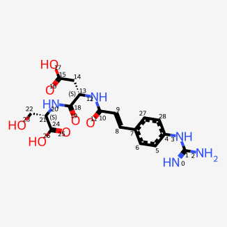 N=C(N)Nc1ccc(C=CC(=O)N[C@@H](CC(=O)O)C(=O)N[C@@H](CO)C(=O)O)cc1